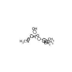 C=C(/C=C\C(OC)=C(C)C)[C@H]1CC[C@H](CN(c2cccc(-n3cnc(C)c3)c2)C(=O)[C@H]2CC[C@H](O)CC2)CC1